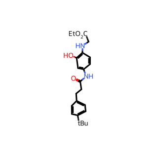 CCOC(=O)CNc1ccc(NC(=O)CCc2ccc(C(C)(C)C)cc2)cc1O